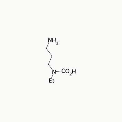 CCN(CCCN)C(=O)O